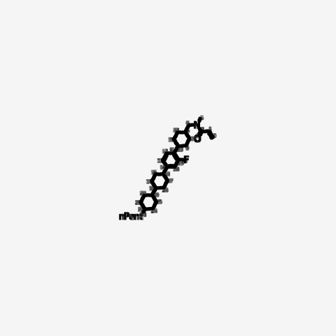 C=CC(=O)N(C)CC1CCC(c2ccc(C3CCC(C4CCC(CCCCC)CC4)CC3)cc2F)CC1